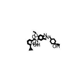 C#CC1(O)CCC(/C=[N+]2\C=c3cc(NC(=O)c4cccc(C5CC5)[n+]4O)c(OCC)cc3=N2)CC1